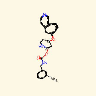 COc1cccc(CNC(=O)O[C@@H]2C[C@H](Oc3ccc4cnccc4c3)CCN2)c1